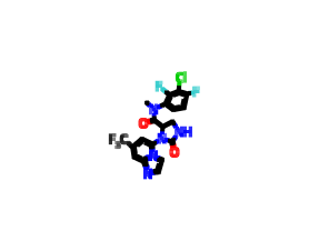 CN(C(=O)C1CNC(=O)N1c1cc(C(F)(F)F)cc2nccn12)c1ccc(F)c(Cl)c1F